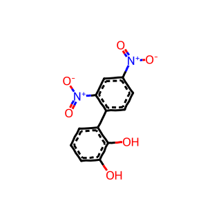 O=[N+]([O-])c1ccc(-c2cccc(O)c2O)c([N+](=O)[O-])c1